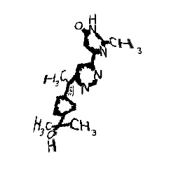 Cc1nc(-c2cc([C@@H](C)c3ccc(C(C)(C)O)cc3)ncn2)cc(=O)[nH]1